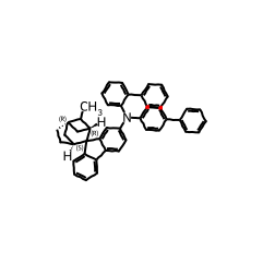 CC1[C@H]2C[C@]13CC[C@@H](C3)C21c2ccccc2-c2ccc(N(c3ccc(-c4ccccc4)cc3)c3ccccc3-c3ccccc3)cc21